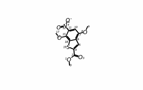 COC(=O)c1cc2c(OC)cc([N+](=O)[O-])c(OC)c2s1